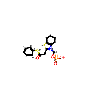 O=C(CC1SC2=C(CCCC2)N1CO[PH](=O)O)Sc1ccccc1